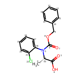 C[C@@H](C(=O)O)N(C(=O)OCc1ccccc1)c1ccccc1Cl